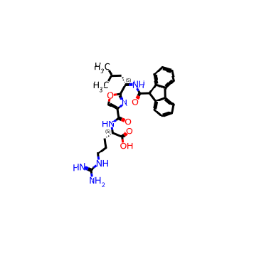 CC(C)C[C@H](NC(=O)C1c2ccccc2-c2ccccc21)c1nc(C(=O)N[C@@H](CCCNC(=N)N)C(=O)O)co1